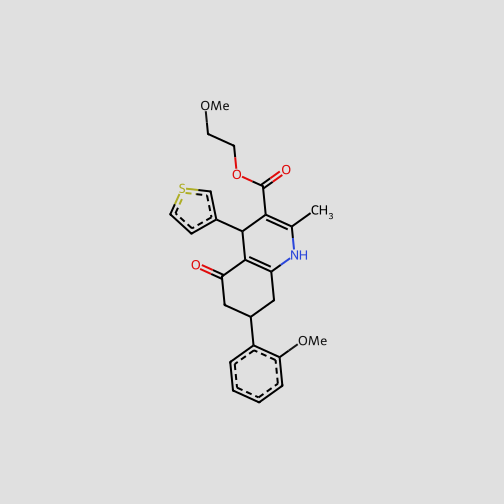 COCCOC(=O)C1=C(C)NC2=C(C(=O)CC(c3ccccc3OC)C2)C1c1ccsc1